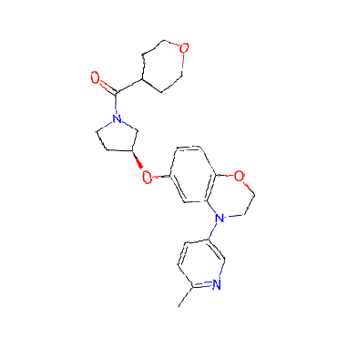 Cc1ccc(N2CCOc3ccc(O[C@H]4CCN(C(=O)C5CCOCC5)C4)cc32)cn1